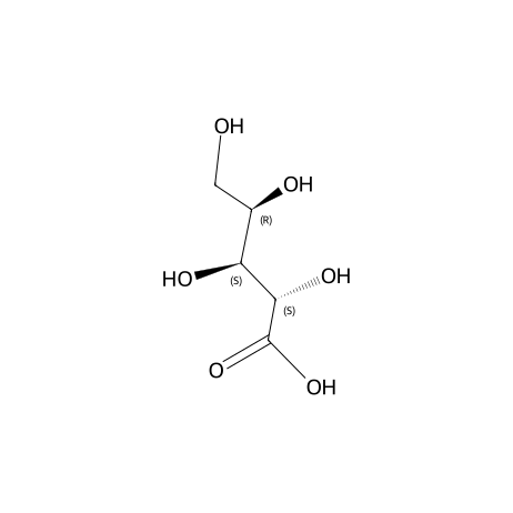 O=C(O)[C@@H](O)[C@@H](O)[C@H](O)CO